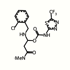 C[N]C(=O)CC(NCc1ccccc1Cl)OC(=O)Nc1nnc(C(F)(F)F)s1